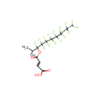 CC(C)C(F)(OC(=O)C=CC(=O)O)C(F)(F)C(F)(F)C(F)(F)C(F)(F)C(F)(F)C(F)(F)C(F)F